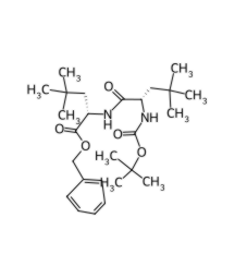 CC(C)(C)C[C@H](NC(=O)OC(C)(C)C)C(=O)N[C@@H](CC(C)(C)C)C(=O)OCc1ccccc1